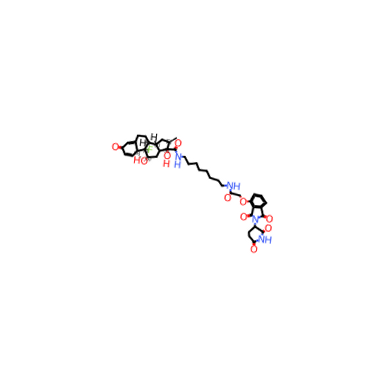 C[C@@H]1C[C@@H]2C(C[C@H](O)[C@@]3(F)[C@H]2CCC2=CC(=O)C=C[C@@]23C)[C@@]1(O)C(=O)NCCCCCCCCNC(=O)COc1cccc2c1C(=O)N(C1CCC(=O)NC1=O)C2=O